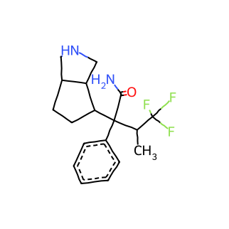 CC(C(F)(F)F)C(C(N)=O)(c1ccccc1)C1CCC2CNCC21